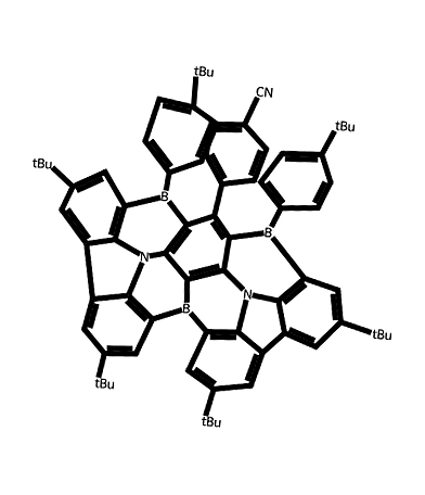 CC(C)(C)c1ccc(B2c3c(-c4ccc(C#N)cc4)c4c5c6c3-n3c7c2cc(C(C)(C)C)cc7c2cc(C(C)(C)C)cc(c23)B6c2cc(C(C)(C)C)cc3c6cc(C(C)(C)C)cc(c6n-5c23)B4c2ccc(C(C)(C)C)cc2)cc1